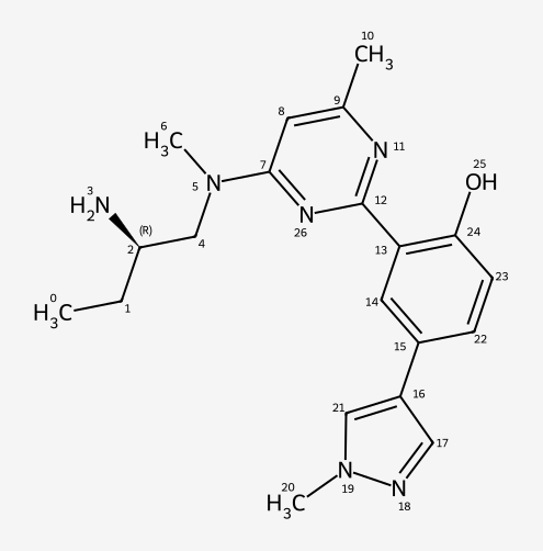 CC[C@@H](N)CN(C)c1cc(C)nc(-c2cc(-c3cnn(C)c3)ccc2O)n1